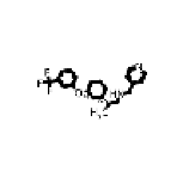 CC(CNCc1ccncc1)[C@H]1CCC[C@@H](Oc2cccc(C(F)(F)F)c2)C1